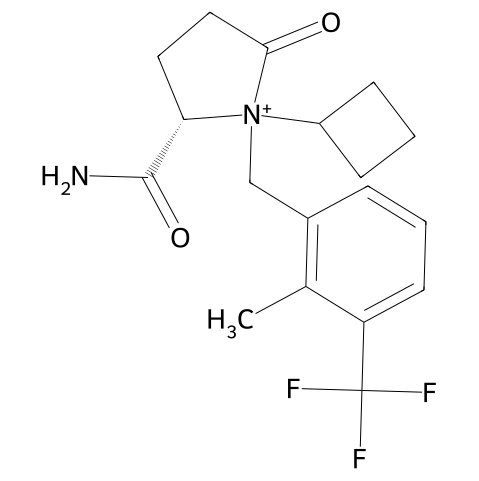 Cc1c(C[N+]2(C3CCC3)C(=O)CC[C@H]2C(N)=O)cccc1C(F)(F)F